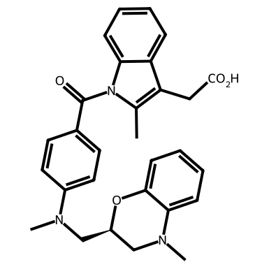 Cc1c(CC(=O)O)c2ccccc2n1C(=O)c1ccc(N(C)C[C@@H]2CN(C)c3ccccc3O2)cc1